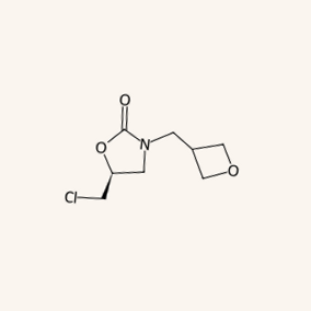 O=C1O[C@H](CCl)CN1CC1COC1